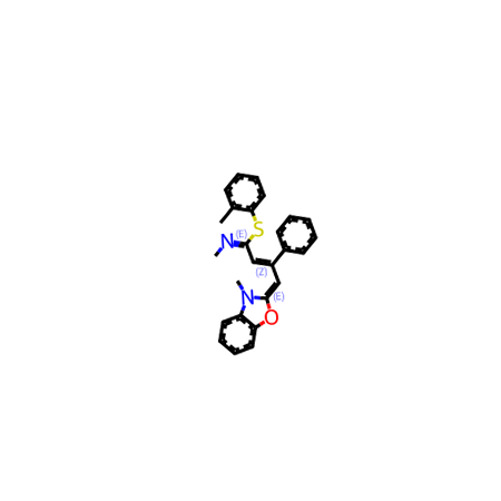 C\N=C(/C=C(/C=C1/Oc2ccccc2N1C)c1ccccc1)Sc1ccccc1C